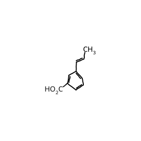 C/C=C/c1cccc(C(=O)O)c1